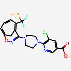 O=C(O)c1cnc(N2CCN(C3=NOC4=CC=CC(C(F)(F)P)=C3C4)CC2)c(Cl)c1